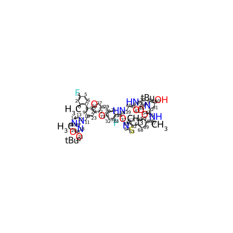 Cc1cc(F)ccc1-c1cc(Cn2ccn(C)c2=NC(=O)OC(C)(C)C)cc2c1OC[C@H](Cc1ccc(F)c(C(=O)NCCC(=O)N[C@H](C(=O)N3C[C@H](O)C[C@H]3C(=O)N[C@@H](C)c3ccc(-c4scnc4C)cc3)C(C)(C)C)c1)C2=O